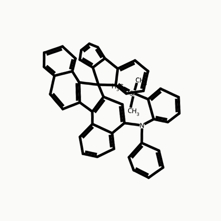 C[Si](C)(C)c1ccccc1N(c1ccccc1)c1cc2c(c3ccccc13)-c1ccc3ccccc3c1C21c2ccccc2-c2ccccc21